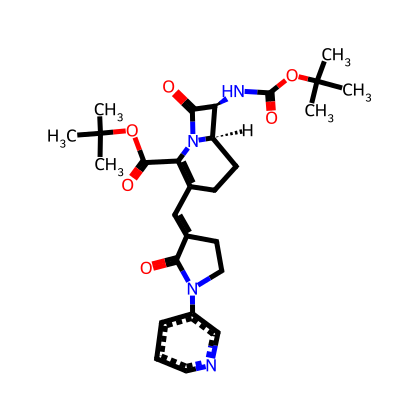 CC(C)(C)OC(=O)N[C@@H]1C(=O)N2C(C(=O)OC(C)(C)C)=C(C=C3CCN(c4cccnc4)C3=O)CC[C@H]12